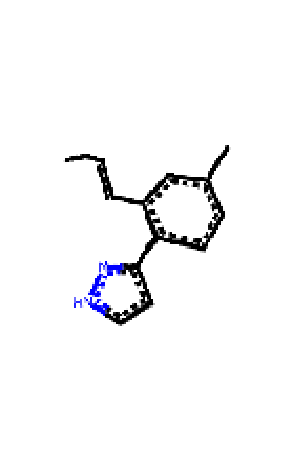 CC=Cc1cc(C)ccc1-c1cc[nH]n1